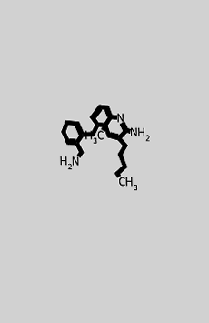 CCCCCC1=CC2(C)C(=CC=CC2CC2=CCCC=C2CN)N=C1N